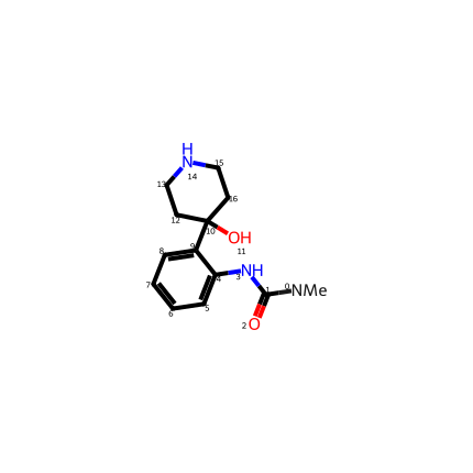 CNC(=O)Nc1ccccc1C1(O)CCNCC1